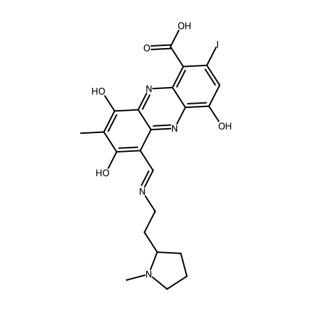 Cc1c(O)c(C=NCCC2CCCN2C)c2nc3c(O)cc(I)c(C(=O)O)c3nc2c1O